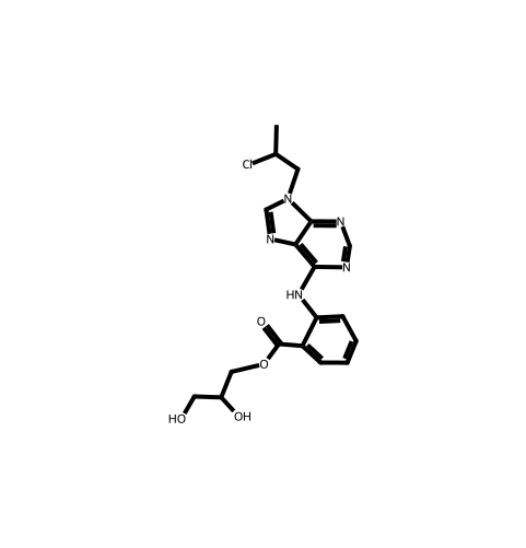 CC(Cl)Cn1cnc2c(Nc3ccccc3C(=O)OCC(O)CO)ncnc21